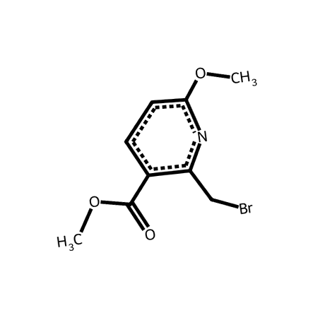 COC(=O)c1ccc(OC)nc1CBr